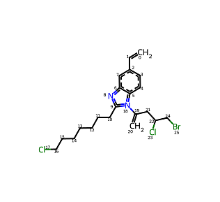 C=Cc1ccc2c(c1)nc(CCCCCCCCl)n2C(=C)CC(Cl)CBr